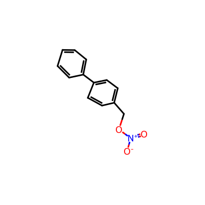 O=[N+]([O-])OCc1ccc(-c2ccccc2)cc1